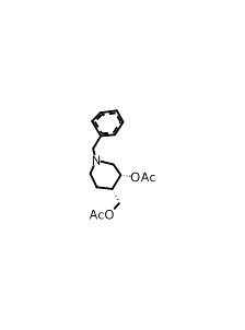 CC(=O)OC[C@@H]1CCN(Cc2ccccc2)C[C@@H]1OC(C)=O